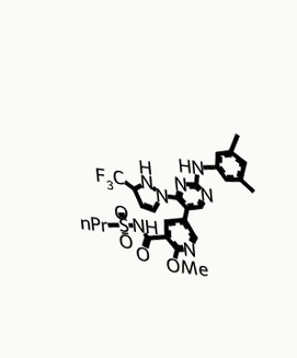 CCCS(=O)(=O)NC(=O)c1cc(-c2cnc(Nc3cc(C)cc(C)c3)nc2N2C=CC(C(F)(F)F)N2)cnc1OC